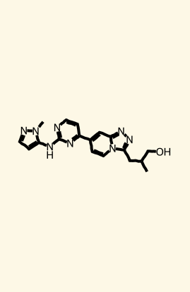 CC(CO)Cc1nnc2cc(-c3ccnc(Nc4ccnn4C)n3)ccn12